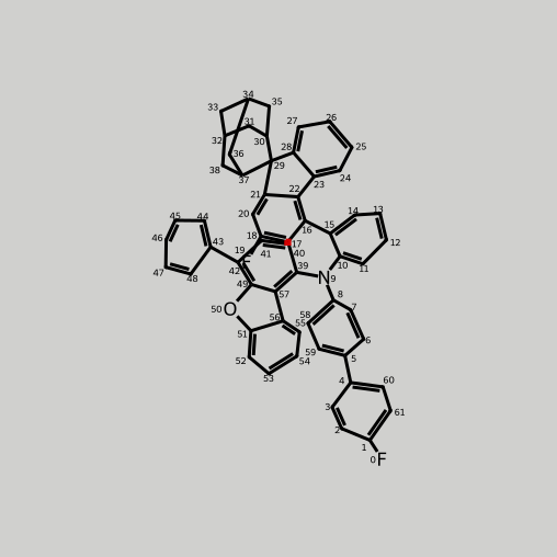 Fc1ccc(-c2ccc(N(c3ccccc3-c3cc(F)cc4c3-c3ccccc3C43C4CC5CC(C4)CC3C5)c3ccc(-c4ccccc4)c4oc5ccccc5c34)cc2)cc1